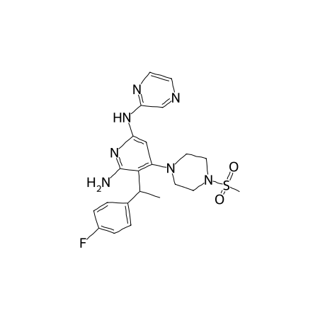 CC(c1ccc(F)cc1)c1c(N2CCN(S(C)(=O)=O)CC2)cc(Nc2cnccn2)nc1N